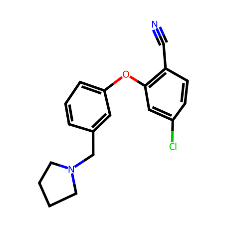 N#Cc1ccc(Cl)cc1Oc1cccc(CN2CCCC2)c1